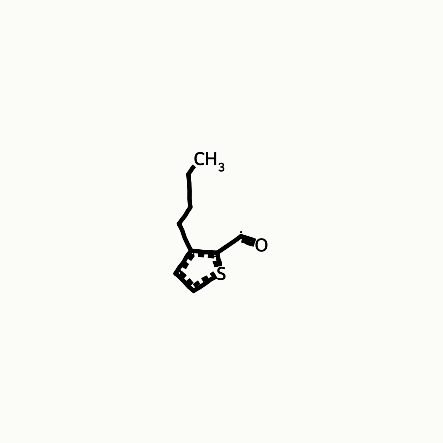 CCCCc1ccsc1[C]=O